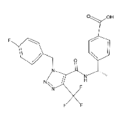 C[C@H](NC(=O)c1c(C(F)(F)F)nnn1Cc1ccc(F)cc1)c1ccc(C(=O)O)cc1